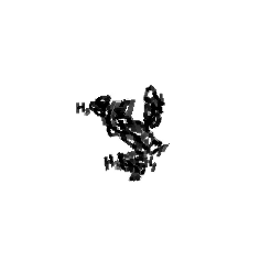 Cn1nc(NS(C)(=O)=O)c2c(Cl)ccc(-c3ccc(CCC(C)(C)S(=O)(=O)C4CC4)nc3[C@H](Cc3cc(F)cc(F)c3)NC(=O)Cn3nnc4ccccc43)c21